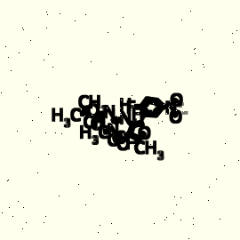 C[C@H]1O[C@@H](c2cc([N+](=O)[O-])ccc2F)[C@@H]2N/C(=N/C(=O)OC(C)(C)C)N(C)S(=O)(=O)[C@@H]21